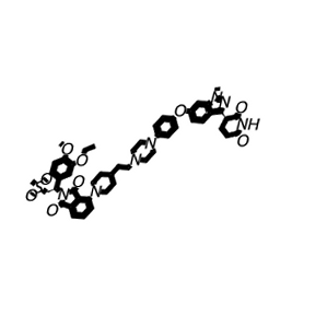 CCOc1cc([C@@H](CS(C)(=O)=O)N2C(=O)c3cccc(N4CCC(CCN5CCN(c6ccc(Oc7ccc8c([C@H]9CCC(=O)NC9=O)nn(C)c8c7)cc6)CC5)CC4)c3C2=O)ccc1OC